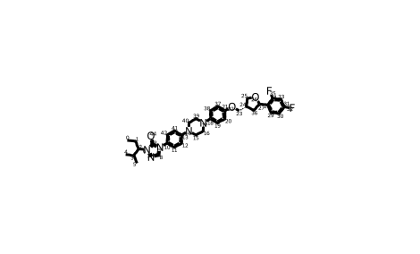 CCC(C(C)C)n1ncn(-c2ccc(N3CCN(c4ccc(OC[C@@H]5COC(c6ccc(F)cc6F)C5)cc4)CC3)cc2)c1=O